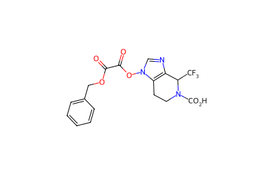 O=C(OCc1ccccc1)C(=O)On1cnc2c1CCN(C(=O)O)C2C(F)(F)F